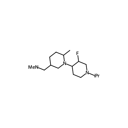 CNCC1CCC(C)N(C2CCN(C(C)C)CC2F)C1